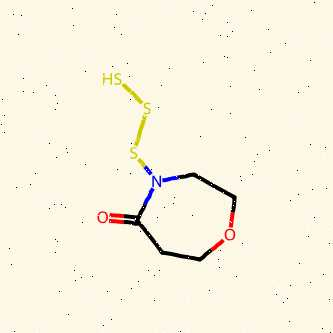 O=C1CCOCCN1SSS